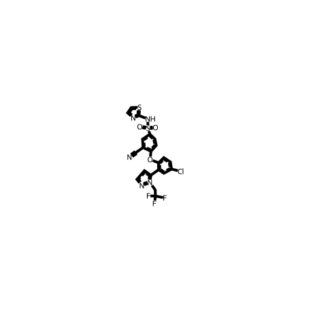 N#Cc1cc(S(=O)(=O)Nc2nccs2)ccc1Oc1ccc(Cl)cc1-c1ccnn1CC(F)(F)F